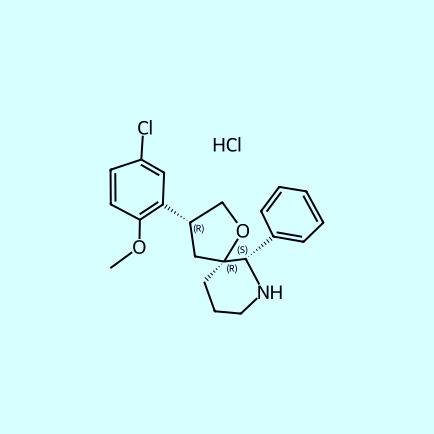 COc1ccc(Cl)cc1[C@@H]1CO[C@]2(CCCN[C@H]2c2ccccc2)C1.Cl